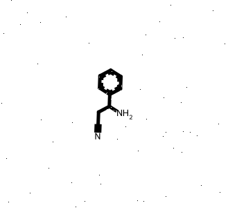 N#CCC(N)c1ccccc1